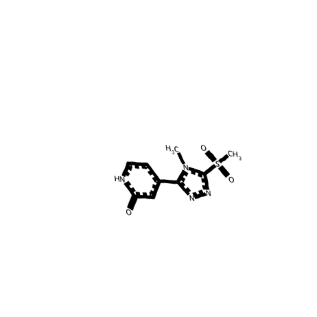 Cn1c(-c2cc[nH]c(=O)c2)nnc1S(C)(=O)=O